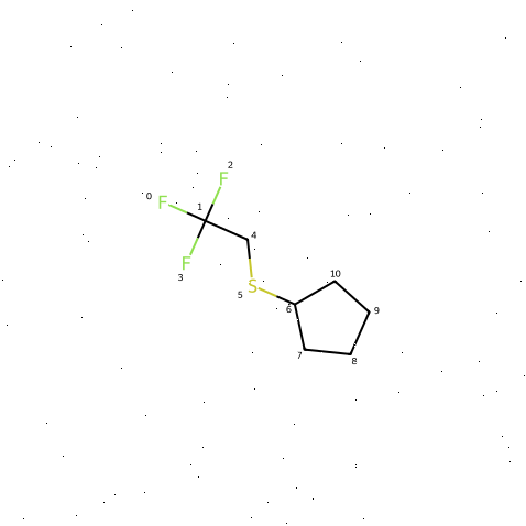 FC(F)(F)CS[C]1CCCC1